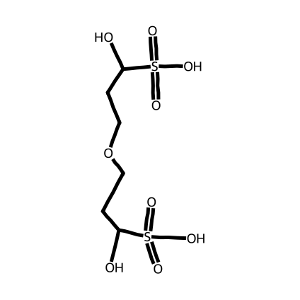 O=S(=O)(O)C(O)CCOCCC(O)S(=O)(=O)O